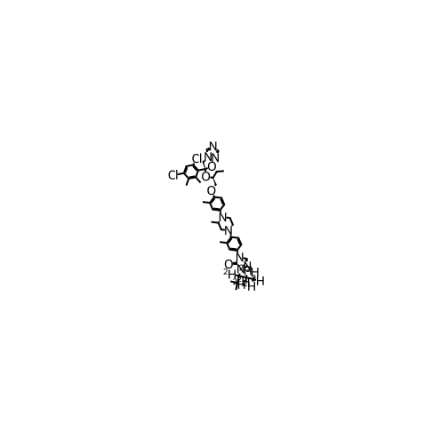 [2H]C([2H])([2H])C([2H])([2H])C([2H])(n1ncn(-c2ccc(N3CCN(c4ccc(OC[C@H]5O[C@](Cn6cncn6)(c6c(Cl)cc(Cl)c(C)c6C)OC5C)c(C)c4)C(C)C3)c(C)c2)c1=O)C([2H])(C)C